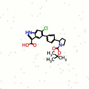 CC(C)(C)OC(=O)N1CCCC1c1ccc(-c2cc3c(C(=O)O)c[nH]c3cc2Cl)cc1